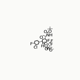 CC(C)(C)OC(=O)NC1COc2c1cc(C(O)(C[N+](=O)[O-])C(F)(F)F)nc2-c1ccc(F)c(Cl)c1